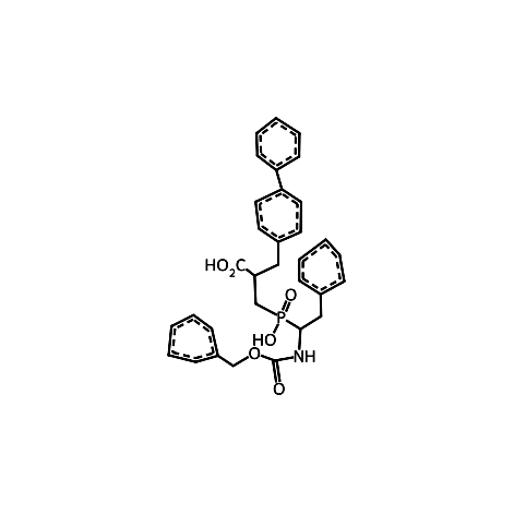 O=C(NC(Cc1ccccc1)P(=O)(O)CC(Cc1ccc(-c2ccccc2)cc1)C(=O)O)OCc1ccccc1